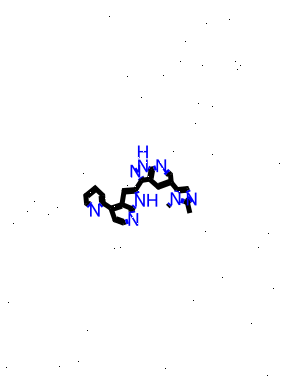 Cc1ncc(-c2cnc3[nH]nc(-c4cc5c(-c6ccccn6)ccnc5[nH]4)c3c2)n1C